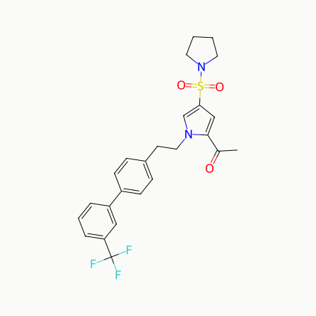 CC(=O)c1cc(S(=O)(=O)N2CCCC2)cn1CCc1ccc(-c2cccc(C(F)(F)F)c2)cc1